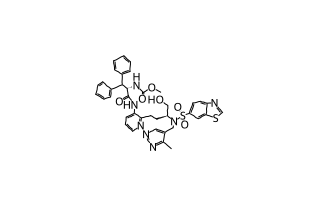 COC(=O)N[C@H](C(=O)Nc1cccnc1CC[C@@H](CO)N(Cc1cncnc1C)S(=O)(=O)c1ccc2ncsc2c1)C(c1ccccc1)c1ccccc1